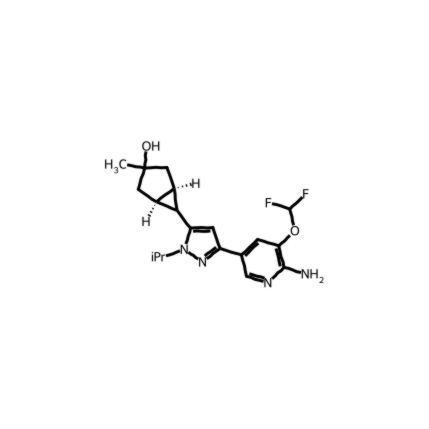 CC(C)n1nc(-c2cnc(N)c(OC(F)F)c2)cc1C1[C@H]2CC(C)(O)C[C@@H]12